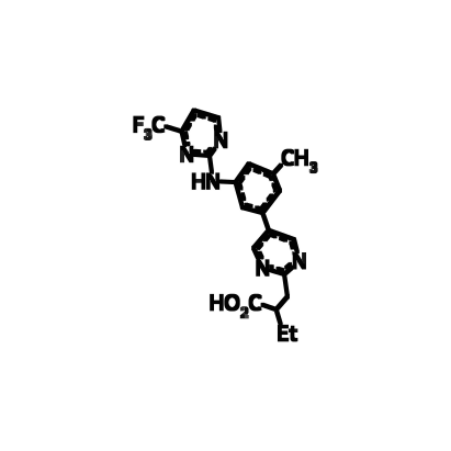 CCC(Cc1ncc(-c2cc(C)cc(Nc3nccc(C(F)(F)F)n3)c2)cn1)C(=O)O